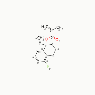 C=CC1(OC(=O)C(=C)C)CCCc2c(F)cccc21